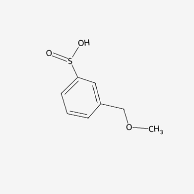 COCc1cccc(S(=O)O)c1